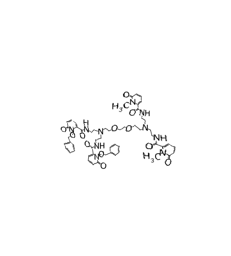 Cn1c(C(=O)NCCN(CCNC(=O)c2cccc(=O)n2C)CCOCCOCCN(CCNC(=O)c2cccc(=O)n2OCc2ccccc2)CCNC(=O)c2cccc(=O)n2OCc2ccccc2)cccc1=O